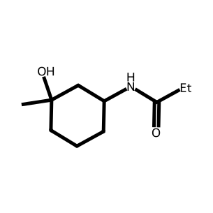 CCC(=O)NC1CCCC(C)(O)C1